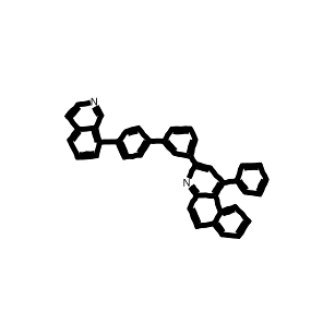 c1ccc(-c2cc(-c3cccc(-c4ccc(-c5cccc6ccncc56)cc4)c3)nc3ccc4ccccc4c23)cc1